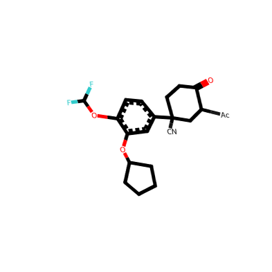 CC(=O)C1CC(C#N)(c2ccc(OC(F)F)c(OC3CCCC3)c2)CCC1=O